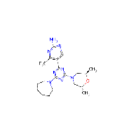 C[C@@H]1CN(c2nc(-c3cnc(N)nc3C(F)(F)F)nc(N3CCCCCC3)n2)C[C@@H](C)O1